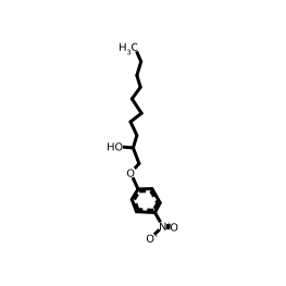 CCCCCCCCC(O)COc1ccc([N+](=O)[O-])cc1